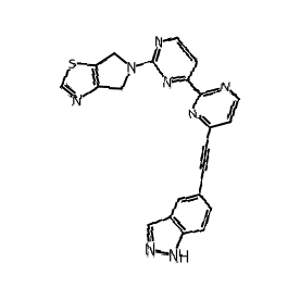 C(#Cc1ccnc(-c2ccnc(N3Cc4ncsc4C3)n2)n1)c1ccc2[nH]ncc2c1